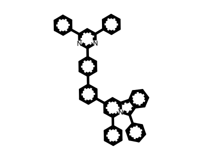 c1ccc(-c2cc(-c3ccccc3)nc(-c3ccc(-c4cccc(-c5cc(-c6ccccc6)n6c(-c7ccccc7)c7ccccc7c6c5)c4)cc3)n2)cc1